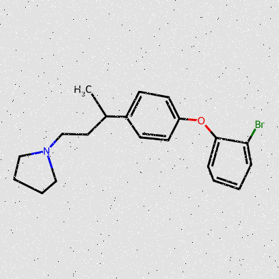 CC(CCN1CCCC1)c1ccc(Oc2ccccc2Br)cc1